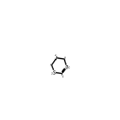 B1=ISC[I]C1